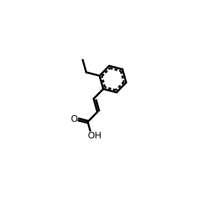 CCc1ccccc1C=CC(=O)O